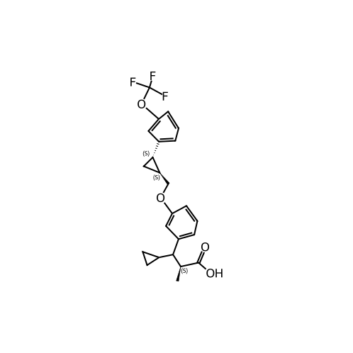 C[C@H](C(=O)O)C(c1cccc(OC[C@H]2C[C@@H]2c2cccc(OC(F)(F)F)c2)c1)C1CC1